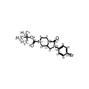 CC(C)(C)OC(=O)N1CCN2C(=O)N(c3ccc(Br)cc3)CC2C1